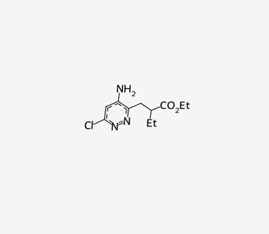 CCOC(=O)C(CC)Cc1nnc(Cl)cc1N